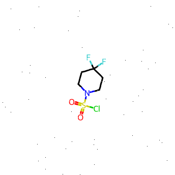 O=S(=O)(Cl)N1CCC(F)(F)CC1